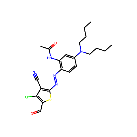 CCCCN(CCCC)c1ccc(N=Nc2sc(C=O)c(Cl)c2C#N)c(NC(C)=O)c1